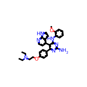 CCN(CC)CCOc1ccc(-c2nc(N)nc(Nc3ccccc3OC)c2-c2ccnc3[nH]ccc23)cc1